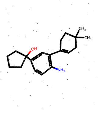 CC1(C)CC=C(c2cc(C3(O)CCCC3)ccc2N)CC1